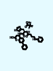 O=C(O)C(F)(F)F.O=C(O)CC(NC(=O)[C@@H](Cc1c[nH]cn1)NC(=O)CCCNc1ccccn1)c1ccc(-c2ccccc2)cc1